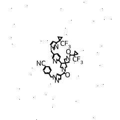 N#Cc1ccc(Cn2cc(C(=O)N3CC(c4ccc(Cn5ccc(C6(C(F)(F)F)CC6)n5)cn4)C4(C3)CN(C(=O)C3(C(F)(F)F)CC3)C4)cn2)cc1